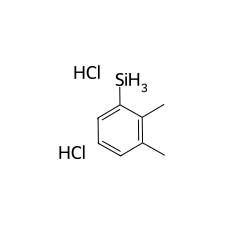 Cc1cccc([SiH3])c1C.Cl.Cl